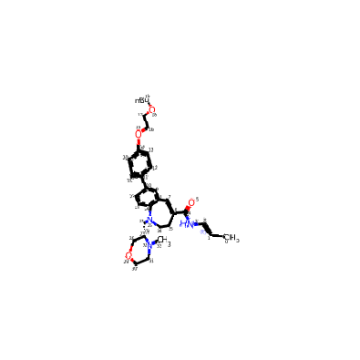 C/C=C/NC(=O)C1=Cc2cc(-c3ccc(OCCOCCCC)cc3)ccc2N(C[C@H]2COCCN2C)CC1